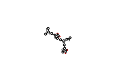 c1ccc(-c2nc(-c3ccc(-c4ccc5c(c4)Oc4ccc(-c6ccc(-c7nc(-c8ccc(-c9ccc%10c(c9)Oc9ccccc9C%109c%10ccccc%10-c%10ccccc%109)cc8)cc(-c8ccc9c(c8)sc8ccccc89)n7)cc6)cc4C54c5ccccc5-c5ccccc54)cc3)cc(-c3ccccn3)n2)cc1